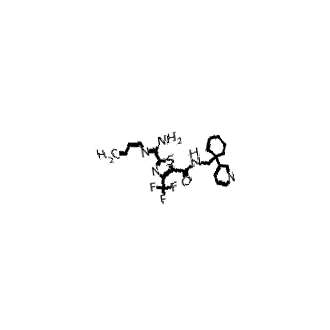 C=C/C=C\N=C(/N)c1nc(C(F)(F)F)c(C(=O)NCC2(c3cccnc3)CCCCC2)s1